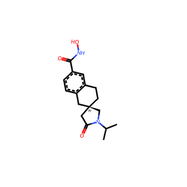 CC(C)N1C[C@@]2(CCc3cc(C(=O)NO)ccc3C2)CC1=O